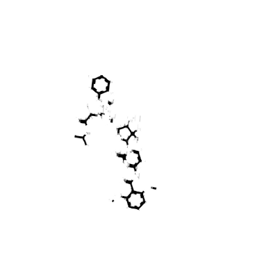 COc1cccc(OC)c1C(=O)Nc1ccn(C2O[C@H](COP(=O)(N[C@H](C)C(=O)OC(C)C)Oc3ccccc3)[C@@H](O)C2(F)F)c(=O)n1